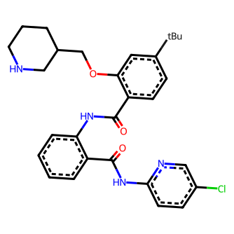 CC(C)(C)c1ccc(C(=O)Nc2ccccc2C(=O)Nc2ccc(Cl)cn2)c(OCC2CCCNC2)c1